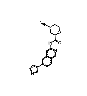 N#CN1CCOC(C(=O)Nc2cc3cc(-c4cn[nH]c4)ccc3cn2)C1